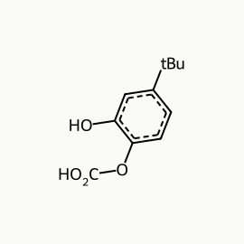 CC(C)(C)c1ccc(OC(=O)O)c(O)c1